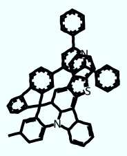 CC1C=C2C(=CC1)N1C3C=CC=CC3C3=c4sc5ccccc5c4=CC(C31)C21c2ccccc2-c2ccc(-c3cc(-c4ccccc4)nc(-c4ccccc4)c3)cc21